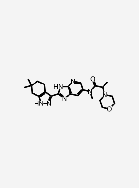 CC(C(=O)N(C)c1cnc2[nH]c(-c3n[nH]c4c3CCC(C)(C)C4)nc2c1)N1CCOCC1